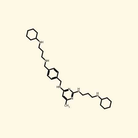 Cc1cc(NCc2ccc(CNCCCNC3CCCCC3)cc2)nc(NCCCNC2CCCCC2)n1